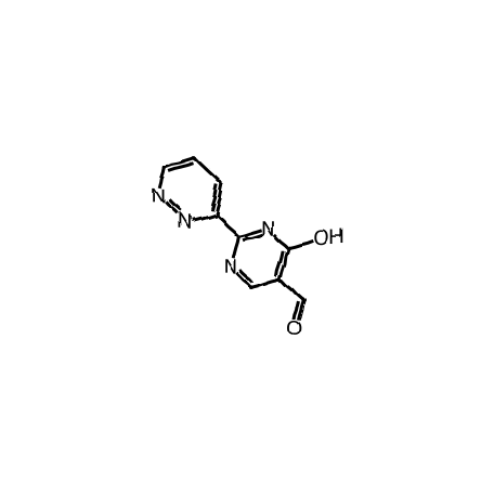 O=Cc1cnc(-c2cccnn2)nc1O